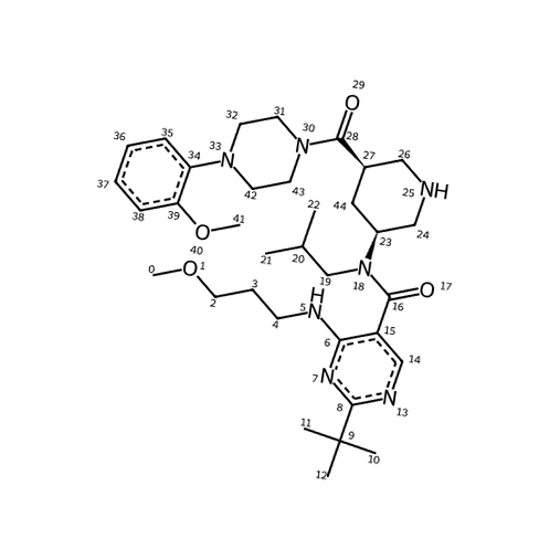 COCCCNc1nc(C(C)(C)C)ncc1C(=O)N(CC(C)C)[C@@H]1CNC[C@H](C(=O)N2CCN(c3ccccc3OC)CC2)C1